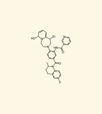 CCC1CN(c2ccc(C(=O)N3c4ccc(F)cc4CCC3C)cc2NC(=O)c2cccnc2)CCN2C1=CC=CC2O